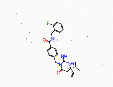 C=C[C@@]1(C(C)C)CC(=O)N(Cc2ccc(C(=O)NCc3ccccc3F)cc2)C(=N)N1